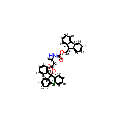 CC(CC(=O)OC(c1ccccc1)(c1ccccc1)c1ccccc1Cl)NC(=O)OCC1c2ccccc2-c2ccccc21